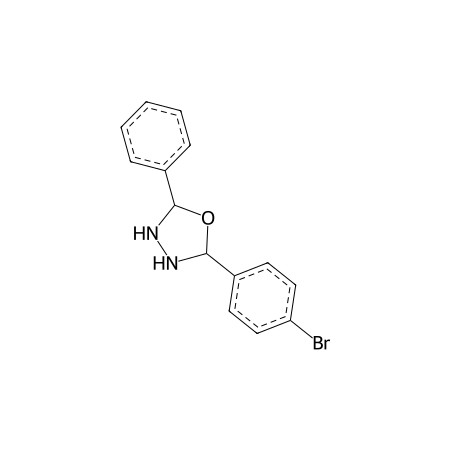 Brc1ccc(C2NNC(c3ccccc3)O2)cc1